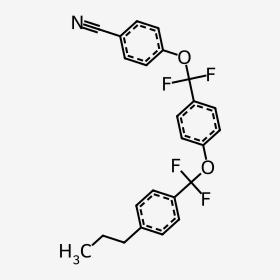 CCCc1ccc(C(F)(F)Oc2ccc(C(F)(F)Oc3ccc(C#N)cc3)cc2)cc1